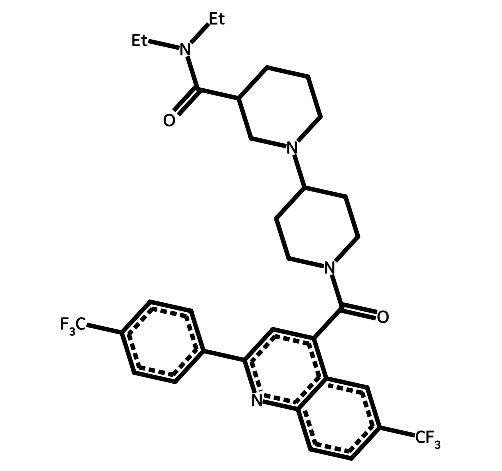 CCN(CC)C(=O)C1CCCN(C2CCN(C(=O)c3cc(-c4ccc(C(F)(F)F)cc4)nc4ccc(C(F)(F)F)cc34)CC2)C1